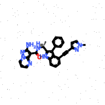 C[C@@H](NC(=O)c1c(N)nn2cccnc12)c1[nH]c2cccc(C#Cc3ccn(C)n3)c2c1-c1ccccc1